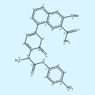 COc1cc2nccc(C3=CC=C(N(C)C(=O)Oc4ccc([N+](=O)[O-])cc4)C(=O)C3)c2cc1C(N)=O